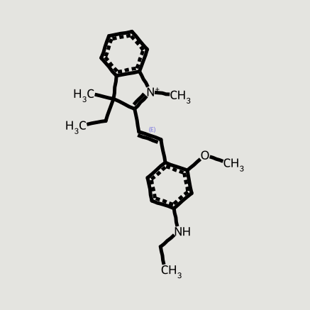 CCNc1ccc(/C=C/C2=[N+](C)c3ccccc3C2(C)CC)c(OC)c1